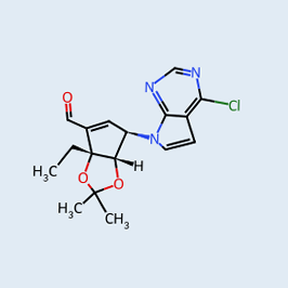 CC[C@]12OC(C)(C)O[C@H]1[C@H](n1ccc3c(Cl)ncnc31)C=C2C=O